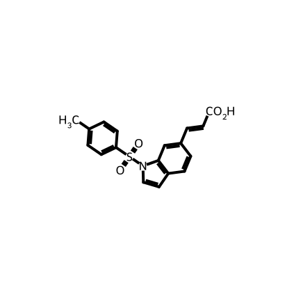 Cc1ccc(S(=O)(=O)n2ccc3ccc(C=CC(=O)O)cc32)cc1